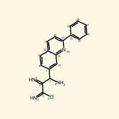 N=C(Cl)C(=N)C(N)c1ccc2ccc(-c3ccccc3)nc2c1